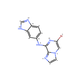 Brc1cn2ccnc2c(Nc2ccc3nc[nH]c3c2)n1